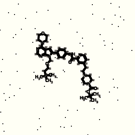 CC(C)(C)OC(=O)N1CCN(CCc2ccnc(C(=O)Nc3ccc(-c4cc5c(N6CCOCC6)ncnc5n4COCC[Si](C)(C)C)cc3)c2)CC1